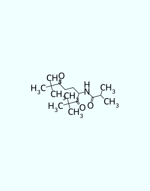 CC(C)C(=O)NC(CCC(=O)C(C)(C)C)C(=O)C(C)(C)C